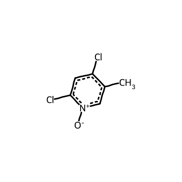 Cc1c[n+]([O-])c(Cl)cc1Cl